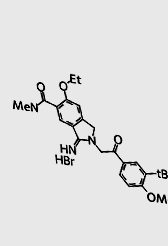 Br.CCOc1cc2c(cc1C(=O)NC)C(=N)N(CC(=O)c1ccc(OC)c(C(C)(C)C)c1)C2